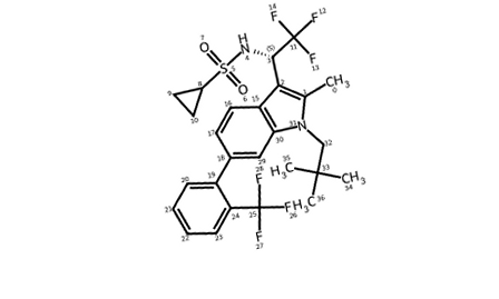 Cc1c([C@H](NS(=O)(=O)C2CC2)C(F)(F)F)c2ccc(-c3ccccc3C(F)(F)F)cc2n1CC(C)(C)C